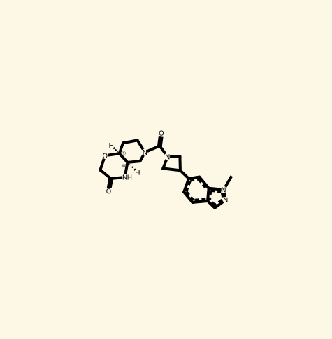 Cn1ncc2ccc(C3CN(C(=O)N4CC[C@@H]5OCC(=O)N[C@@H]5C4)C3)cc21